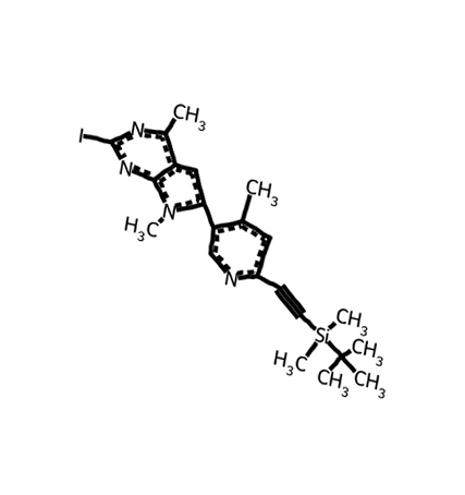 Cc1cc(C#C[Si](C)(C)C(C)(C)C)ncc1-c1cc2c(C)nc(I)nc2n1C